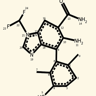 Cc1ccc(O)c(C)c1-c1c(N)c(C(N)=O)cc2c1ncn2C(F)F